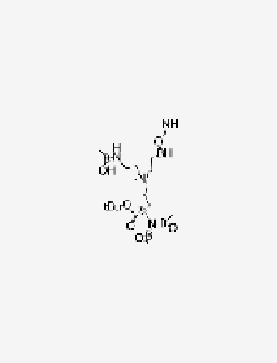 CB(O)NCC[N+](C)(CCBOC=N)CCC[C@@H](C(=O)OC(C)(C)C)N(B1CO1)B1CO1